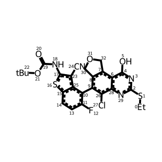 CCSc1nc(O)c2c3c(c(-c4c(F)ccc5sc(NC(=O)OC(C)(C)C)c(C#N)c45)c(Cl)c2n1)COC3